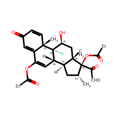 CCC(=O)OC1=C[C@H]2[C@@H]3C[C@@H](C)[C@@](OC(=O)CC)(C(=O)C=O)[C@@]3(C)C[C@H](O)[C@]2(F)[C@@]2(C)C=CC(=O)C=C12